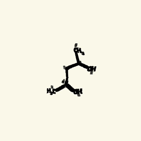 CC(O)CN(C)O